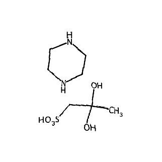 C1CNCCN1.CC(O)(O)CS(=O)(=O)O